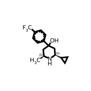 C[C@H]1CC(O)(c2ccc(C(F)(F)F)cc2)C[C@@H](C2CC2)N1